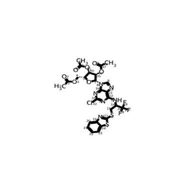 CC(=O)OC[C@H]1O[C@@H](n2cnc3c(NC(CSc4nc5ccccc5s4)C(F)(F)F)nc(Cl)nc32)[C@H](OC(C)=O)[C@@H]1OC(C)=O